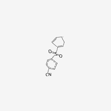 N#Cc1ccc(S(=O)(=O)C2=CC[CH]C=C2)cc1